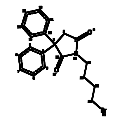 O=C1CC(c2ccccc2)(c2ccccc2)C(=O)N1CCCCBr